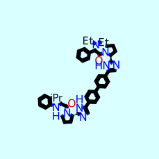 CCN(CC)[C@@H](C(=O)N1CCC[C@H]1c1ncc(-c2ccc(-c3ccc(-c4cnc([C@@H]5CCCN5C(=O)[C@@H](Nc5ccccc5)C(C)C)[nH]4)cc3)cc2)[nH]1)c1ccccc1